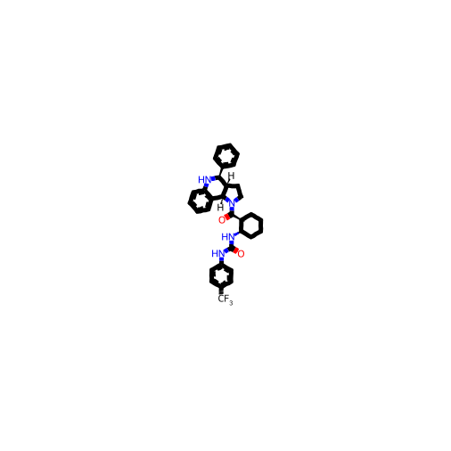 O=C(Nc1ccc(C(F)(F)F)cc1)N[C@@H]1CCCC[C@@H]1C(=O)N1CC[C@@H]2[C@H](c3ccccc3)Nc3ccccc3[C@@H]21